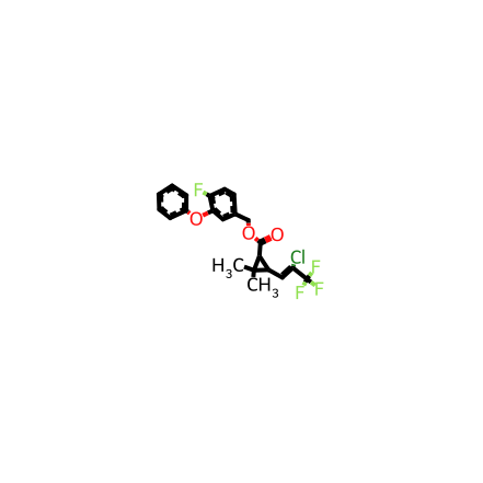 CC1(C)C(C=C(Cl)C(F)(F)F)C1C(=O)OCc1ccc(F)c(Oc2ccccc2)c1